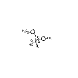 COc1cccc(CCN([C@@H](C)C(=O)O)S(=O)(=O)c2ccc(C)cc2)c1